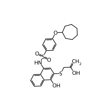 C=C(O)CSc1cc(NS(=O)(=O)c2ccc(OC3CCCCCC3)cc2)c2ccccc2c1O